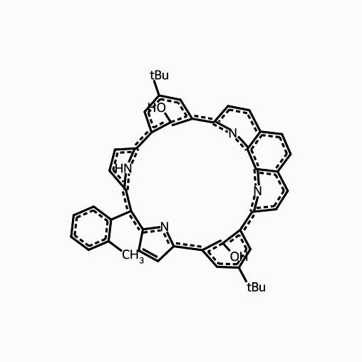 Cc1ccccc1-c1c2nc(c3cc(C(C)(C)C)cc(c3O)c3ccc4ccc5ccc(nc5c4n3)c3cc(C(C)(C)C)cc(c3O)c3ccc1[nH]3)C=C2